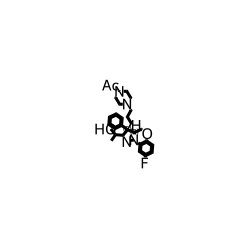 CC(=O)N1CCN(CCC[C@]2(c3ccccc3)C(C(C)O)=NN3c4cc(F)ccc4OC[C@H]32)CC1